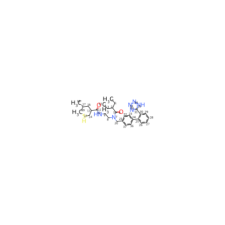 CCC(CC)C(=O)N(CCNC(=O)C(CS)CC(C)C)Cc1ccc(-c2ccccc2-c2nnn[nH]2)cc1